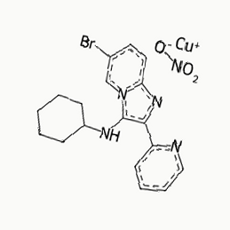 Brc1ccc2nc(-c3ccccn3)c(NC3CCCCC3)n2c1.O=[N+]([O-])[O-].[Cu+]